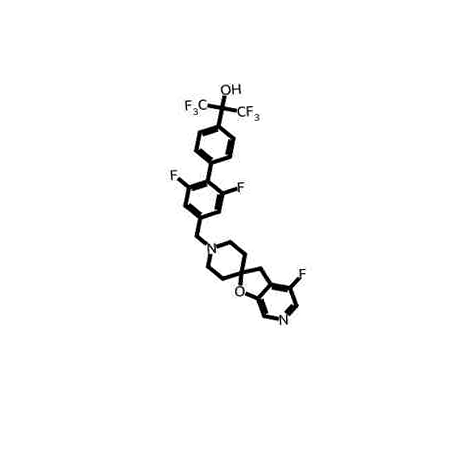 OC(c1ccc(-c2c(F)cc(CN3CCC4(CC3)Cc3c(F)cncc3O4)cc2F)cc1)(C(F)(F)F)C(F)(F)F